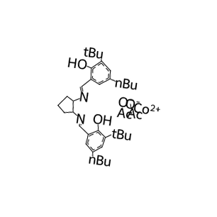 CC(=O)[O-].CC(=O)[O-].CCCCc1cc(C=NC2CCCC2N=Cc2cc(CCCC)cc(C(C)(C)C)c2O)c(O)c(C(C)(C)C)c1.[Co+2]